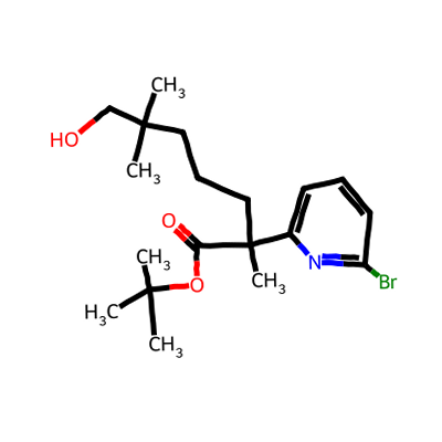 CC(C)(CO)CCCC(C)(C(=O)OC(C)(C)C)c1cccc(Br)n1